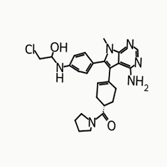 Cn1c(-c2ccc(NC(O)CCl)cc2)c(C2=CC[C@@H](C(=O)N3CCCC3)CC2)c2c(N)ncnc21